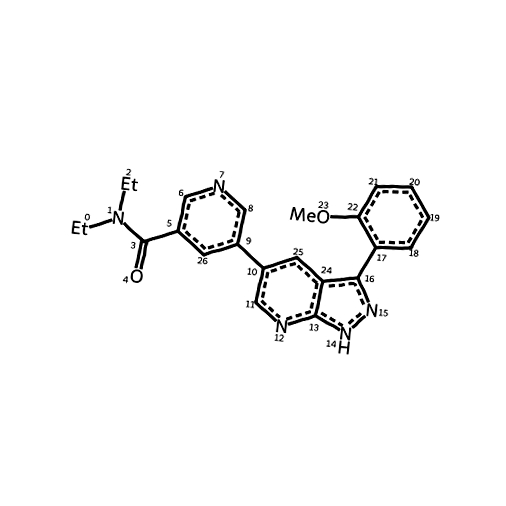 CCN(CC)C(=O)c1cncc(-c2cnc3[nH]nc(-c4ccccc4OC)c3c2)c1